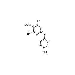 COc1c(F)cc(Cc2ccc(N)cc2)cc1Br